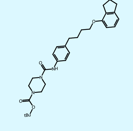 CC(C)(C)OC(=O)N1CCN(C(=O)Nc2ccc(CCCCOc3cccc4c3CCC4)cc2)CC1